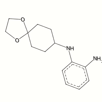 Nc1ccccc1NC1CCC2(CC1)OCCO2